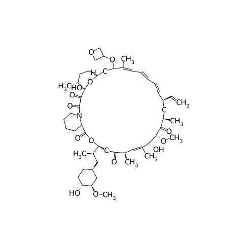 C=C[C@@H]1/C=C/C=C/C=C(\C)C(OC2COC2)C[C@@H]2CC[C@@H](C)[C@@](O)(O2)C(=O)C(=O)N2CCCCC2C(=O)O[C@H]([C@H](C)C[C@@H]2CC[C@@H](O)[C@H](OC)C2)CC(=O)[C@H](C)/C=C(\C)[C@@H](O)[C@@H](OC)C(=O)[C@H](C)C1